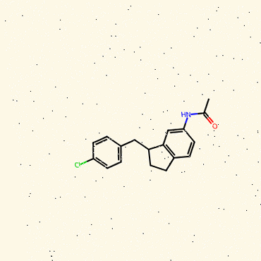 CC(=O)Nc1ccc2c(c1)C(Cc1ccc(Cl)cc1)CC2